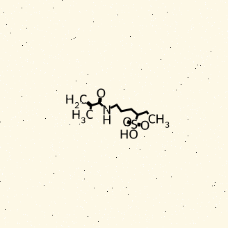 C=C(C)C(=O)NCCCC(CC)S(=O)(=O)O